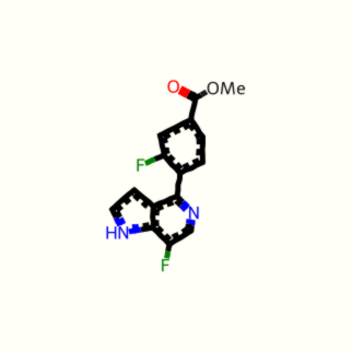 COC(=O)c1ccc(-c2ncc(F)c3[nH]ccc23)c(F)c1